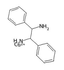 NC(c1ccccc1)C(N)c1ccccc1.[Cu+2]